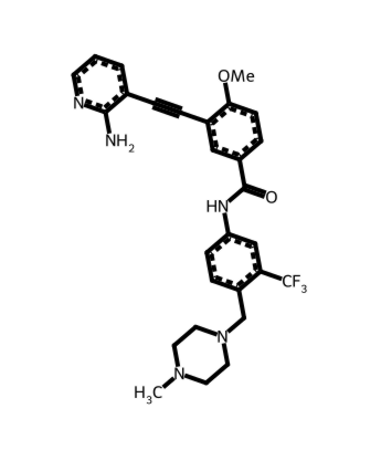 COc1ccc(C(=O)Nc2ccc(CN3CCN(C)CC3)c(C(F)(F)F)c2)cc1C#Cc1cccnc1N